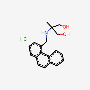 CC(CO)(CO)NCc1cccc2ccc3ccccc3c12.Cl